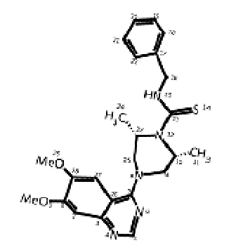 COc1cc2ncnc(N3C[C@@H](C)N(C(=S)NCc4ccccc4)[C@@H](C)C3)c2cc1OC